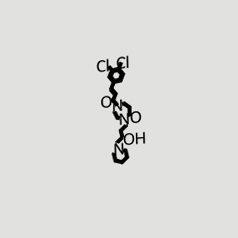 O=C(/C=C/c1ccc(Cl)c(Cl)c1)N1CCC(=O)N(CCC(O)CN2CCCCC2)CC1